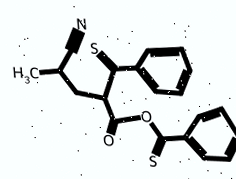 CC(C#N)CC(C(=O)OC(=S)c1ccccc1)C(=S)c1ccccc1